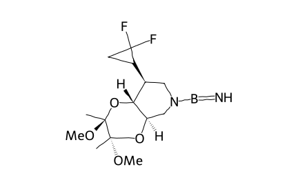 CO[C@@]1(C)O[C@@H]2[C@@H](C3CC3(F)F)CN(B=N)C[C@H]2O[C@]1(C)OC